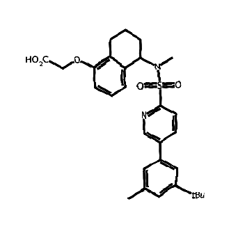 Cc1cc(-c2ccc(S(=O)(=O)N(C)C3CCCc4c(OCC(=O)O)cccc43)nc2)cc(C(C)(C)C)c1